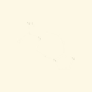 NC(=O)N1CCOc2nccn2CC1